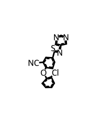 N#Cc1cc(-c2nc3cncnc3s2)ccc1Oc1ccccc1Cl